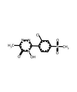 Cc1nnc(-c2ccc(S(C)(=O)=O)cc2Cl)n(O)c1=O